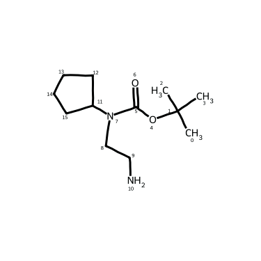 CC(C)(C)OC(=O)N(CCN)C1CCCC1